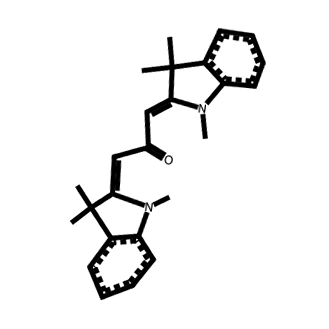 CN1/C(=C\C(=O)/C=C2\N(C)c3ccccc3C2(C)C)C(C)(C)c2ccccc21